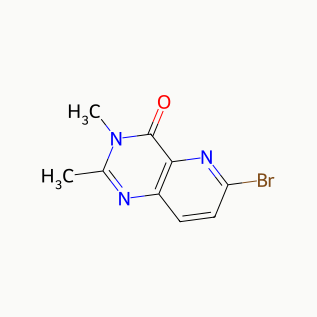 Cc1nc2ccc(Br)nc2c(=O)n1C